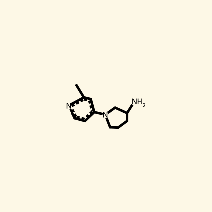 Cc1cc(N2CCCC(N)C2)ccn1